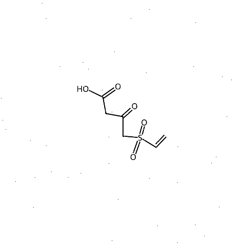 C=CS(=O)(=O)CC(=O)CC(=O)O